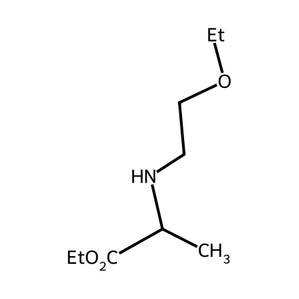 CCOCCNC(C)C(=O)OCC